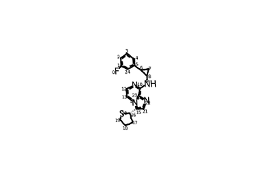 Fc1cccc(C2CC2Nc2nccn3c([C@@H]4CCCS4)cnc23)c1